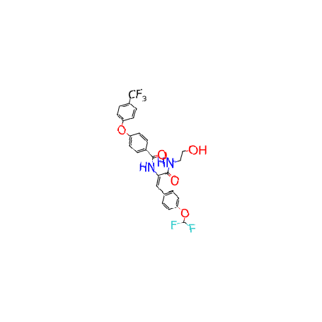 O=C(NCCO)/C(=C\c1ccc(OC(F)F)cc1)NC(=O)c1ccc(Oc2ccc(C(F)(F)F)cc2)cc1